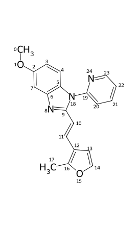 COc1ccc2c(c1)nc(C=Cc1ccoc1C)n2-c1ccccn1